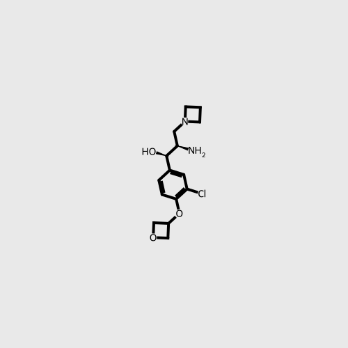 N[C@H](CN1CCC1)[C@H](O)c1ccc(OC2COC2)c(Cl)c1